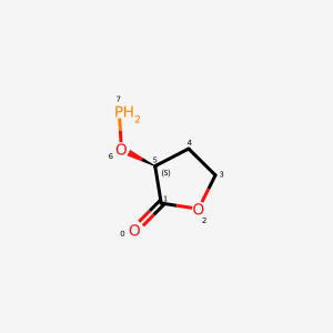 O=C1OCC[C@@H]1OP